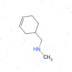 CNCC1CC=CCC1